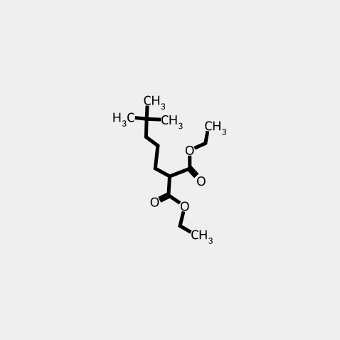 CCOC(=O)C(CCCC(C)(C)C)C(=O)OCC